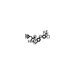 CN(Cc1ccc(Oc2ccc(Cl)c(C(F)(F)F)c2)cc1)c1nc(=O)c(Cc2cnn(C)c2)c[nH]1